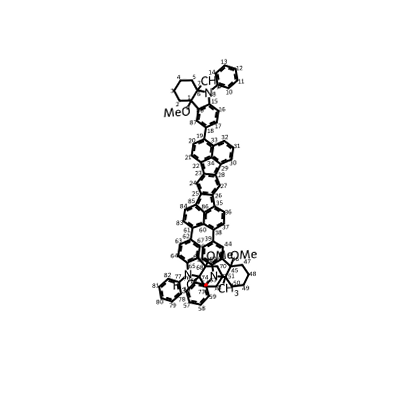 COC12CCCCC1(C)N(c1ccccc1)c1ccc(-c3ccc4c5cc6c(cc5c5cccc3c54)c3ccc(-c4ccc5c(c4)C4(OC)CCCCC4(C)N5c4ccccc4)c4c(-c5ccc7c(c5)C5(OC)CCCCC5(C)N7c5ccccc5)ccc6c43)cc12